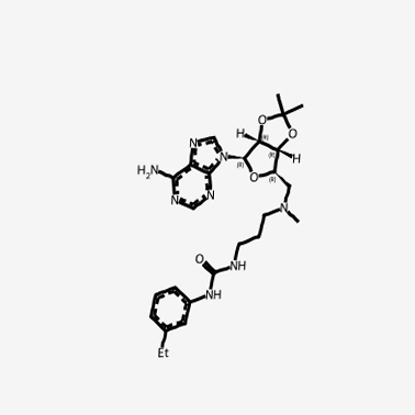 CCc1cccc(NC(=O)NCCCN(C)C[C@H]2O[C@@H](n3cnc4c(N)ncnc43)[C@@H]3OC(C)(C)O[C@@H]32)c1